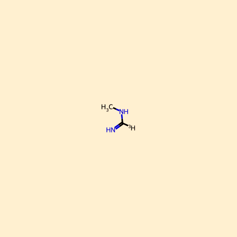 [3H]C(=N)NC